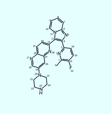 Cc1nc(-c2nc3ccccn3c2-c2ccc3ncc(N4CCNCC4)cc3n2)ccc1F